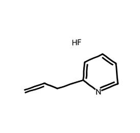 C=CCc1ccccn1.F